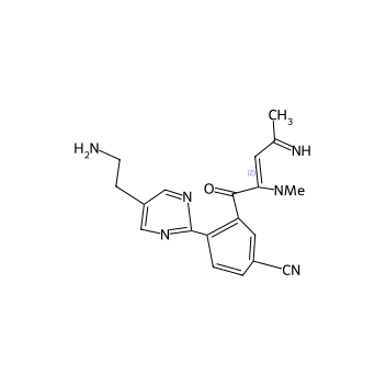 CN/C(=C\C(C)=N)C(=O)c1cc(C#N)ccc1-c1ncc(CCN)cn1